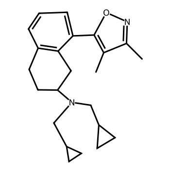 Cc1noc(-c2cccc3c2CC(N(CC2CC2)CC2CC2)CC3)c1C